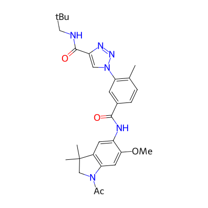 COc1cc2c(cc1NC(=O)c1ccc(C)c(-n3cc(C(=O)NCC(C)(C)C)nn3)c1)C(C)(C)CN2C(C)=O